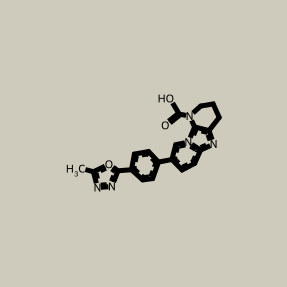 Cc1nnc(-c2ccc(-c3ccc4nc5c(n4c3)N(C(=O)O)CCC5)cc2)o1